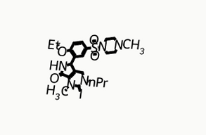 CCCN1CC2=C(C(=O)NC2c2cc(S(=O)(=O)N3CCN(C)CC3)ccc2OCC)N(C)C1I